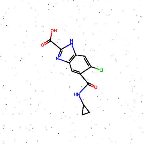 O=C(O)c1nc2cc(C(=O)NC3CC3)c(Cl)cc2[nH]1